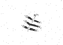 [N+3].[N-]=C=O.[N-]=C=O.[N-]=C=O